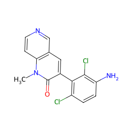 Cn1c(=O)c(-c2c(Cl)ccc(N)c2Cl)cc2cnccc21